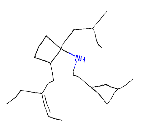 C/C=C(/CC)CC1CCC1(CC(C)C)NCC1CC1C